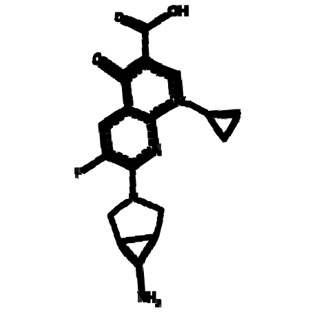 NC1C2CN(c3nc4c(cc3F)c(=O)c(C(=O)O)cn4C3CC3)CC12